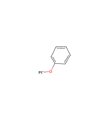 [Pt+][O]c1ccccc1